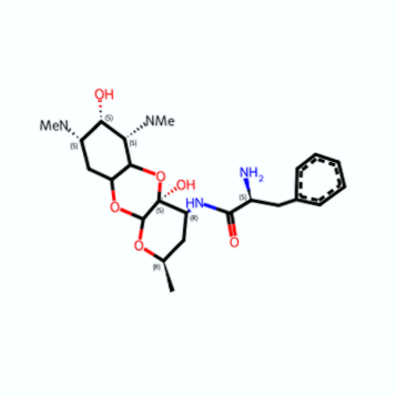 CN[C@H]1CC2OC3O[C@H](C)C[C@@H](NC(=O)[C@@H](N)Cc4ccccc4)[C@]3(O)OC2[C@@H](NC)[C@H]1O